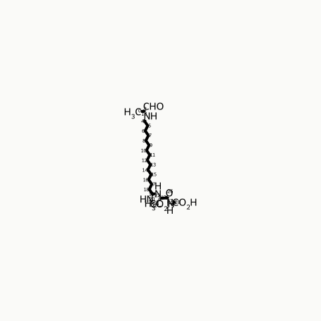 CC(C=O)NCCCCCCCCCCCCCCCC(NC(=O)O)N[C@@H](C)C(=O)NC(=O)O